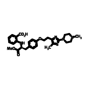 COC(=O)[C@H](Cc1ccc(OCCc2nc(N3CCN(C)CC3)sc2C)cc1)Nc1ccccc1C(=O)O